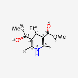 CCC1C(C(=O)OC)=C(C)NC(C)=C1C(=O)OC